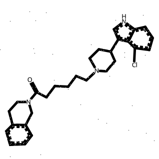 O=C(CCCCCN1CCC(c2c[nH]c3cccc(Cl)c23)CC1)N1CCc2ccccc2C1